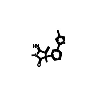 C=C1C(=N)N(C)C(=O)C1(C)c1cccc(-c2cc(C)cs2)c1